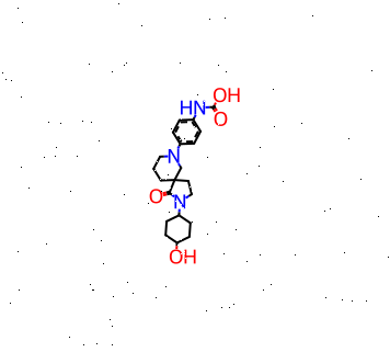 O=C(O)Nc1ccc(N2CCCC3(CCN(C4CCC(O)CC4)C3=O)C2)cc1